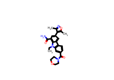 CCn1c2cc(C(=O)N3CCOCC3)ccc2c2cc(-c3c(C)noc3C)cc(C(N)=O)c21